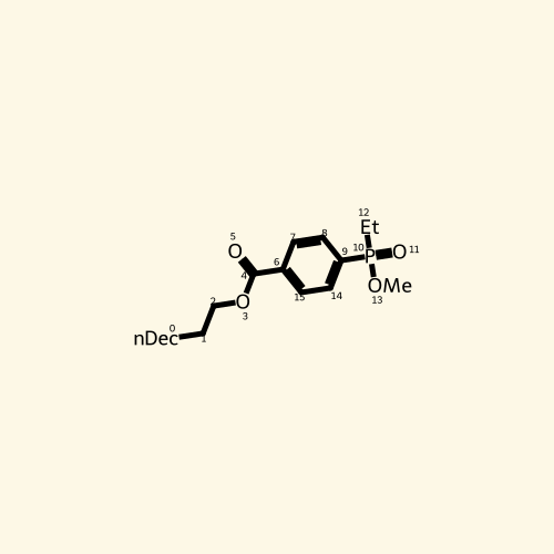 CCCCCCCCCCCCOC(=O)c1ccc(P(=O)(CC)OC)cc1